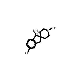 CC(C)N1CCC2(CC1)Cc1cc(Cl)ccc1[C@H]2N